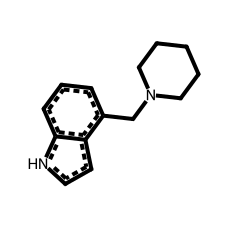 c1cc(CN2CCCCC2)c2cc[nH]c2c1